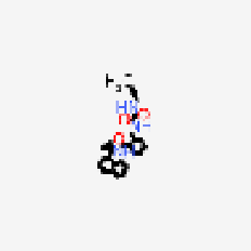 CC#CCNC(=O)C(=O)NCc1ccccc1C(=O)NC1(c2cccc3ccccc23)CC1